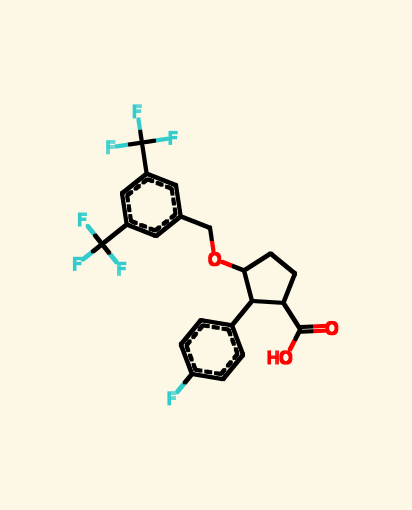 O=C(O)C1CCC(OCc2cc(C(F)(F)F)cc(C(F)(F)F)c2)C1c1ccc(F)cc1